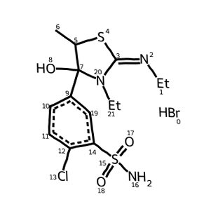 Br.CCN=C1SC(C)C(O)(c2ccc(Cl)c(S(N)(=O)=O)c2)N1CC